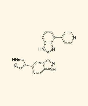 c1cc(-c2ccncc2)c2nc(-c3n[nH]c4cnc(-c5cn[nH]c5)cc34)[nH]c2c1